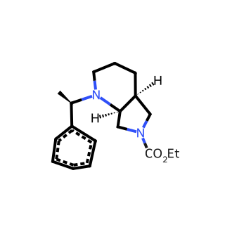 CCOC(=O)N1C[C@@H]2CCCN([C@H](C)c3ccccc3)[C@@H]2C1